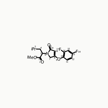 COC(=O)C(CC(C)C)N1CC(Oc2ccc(F)cc2F)=CC1=O